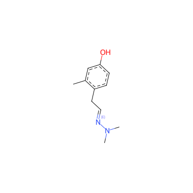 Cc1cc(O)ccc1C/C=N/N(C)C